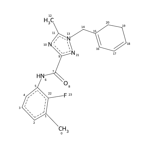 Cc1cccc(NC(=O)c2nc(C)n(CC3=CC=CCC3)n2)c1F